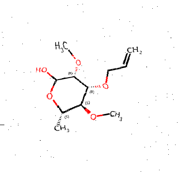 C=CCO[C@@H]1[C@@H](OC)[C@H](C)OC(O)[C@@H]1OC